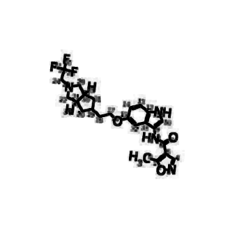 Cc1oncc1C(=O)Nc1c[nH]c2ccc(OCCC3C[C@@H]4CN(CC(F)(F)F)C[C@@H]4C3)cc12